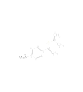 C=C(C)SC(=C)c1ccc(NC)cc1